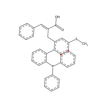 CSc1ccc(-c2ccccc2P(c2ccccc2)c2ccccc2)c(C/C(=C\c2ccccc2)C(=O)O)c1